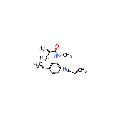 C=C(C)C(=O)NC.C=CC#N.C=Cc1ccccc1